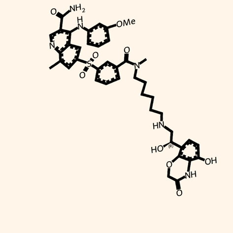 COc1cccc(Nc2c(C(N)=O)cnc3c(C)cc(S(=O)(=O)c4cccc(C(=O)N(C)CCCCCCNC[C@H](O)c5ccc(O)c6c5OCC(=O)N6)c4)cc23)c1